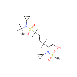 CC(C)(CCC(C)(C)S(=O)(=O)N(C1CC1)C(C)(C)C(C)(C)C)[C@@H](CO)N(C1CC1)S(=O)(=O)C(C)(C)C